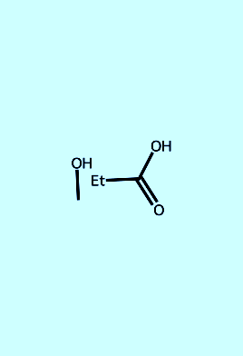 CCC(=O)O.CO